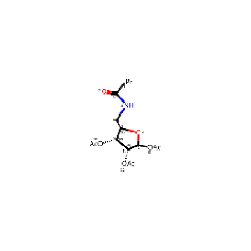 CC(=O)OC1O[C@H](CNC(=O)C(C)C)[C@@H](OC(C)=O)[C@H]1OC(C)=O